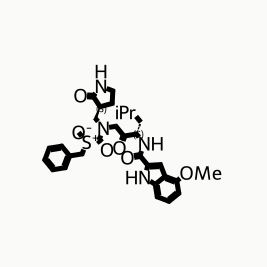 COc1cccc2[nH]c(C(=O)N[C@@H](CC(C)C)C(=O)CN(C[C@@H]3CCNC3=O)C(=O)[S+]([O-])Cc3ccccc3)cc12